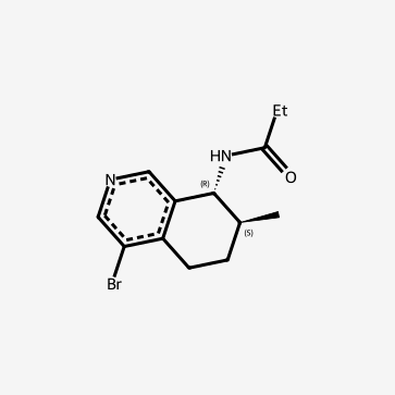 CCC(=O)N[C@H]1c2cncc(Br)c2CC[C@@H]1C